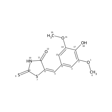 COc1cc(C=C2SC(=S)NC2=O)cc(OC)c1O